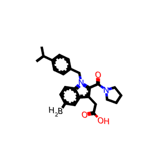 Bc1ccc2c(c1)c(CC(=O)O)c(C(=O)N1CCCC1)n2Cc1ccc(C(C)C)cc1